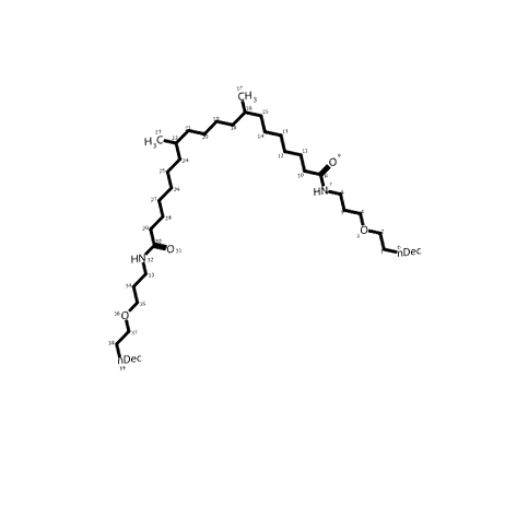 CCCCCCCCCCCCOCCCNC(=O)CCCCCCC(C)CCCCC(C)CCCCCCC(=O)NCCCOCCCCCCCCCCCC